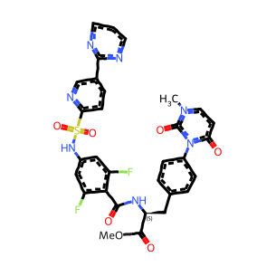 COC(=O)[C@H](Cc1ccc(-n2c(=O)ccn(C)c2=O)cc1)NC(=O)c1c(F)cc(NS(=O)(=O)c2ccc(-c3ncccn3)cn2)cc1F